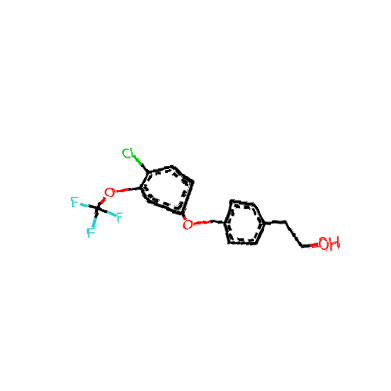 OCCc1ccc(Oc2ccc(Cl)c(OC(F)(F)F)c2)cc1